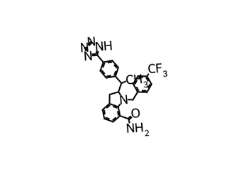 CC(c1ccc(-c2nnn[nH]2)cc1)C1Cc2cccc(C(N)=O)c2N1Cc1ccc(C(F)(F)F)cc1